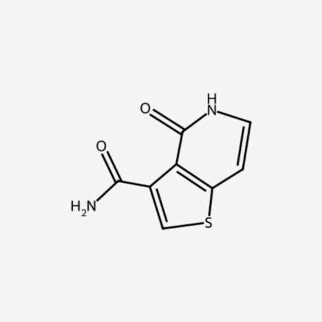 NC(=O)c1csc2cc[nH]c(=O)c12